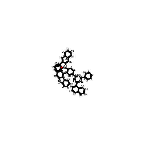 c1ccc(-c2nc(-c3ccc(-n4c5ccccc5c5cc6ccccc6cc54)c(-c4c5ccccc5cc5sc6ccccc6c45)c3)nc(-c3cccc4ccccc34)n2)cc1